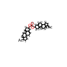 CC(=O)C1CCC2C3CC=C4CC(OC(=O)OC5CCC6(C)C(=CCC7C6CCC6(C)C(C(C)=O)CCC76)C5)CCC4(C)C3CCC12C